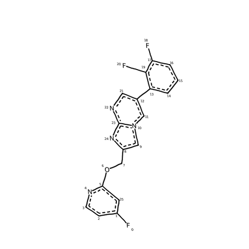 Fc1ccnc(OCc2cn3cc(-c4cccc(F)c4F)cnc3n2)c1